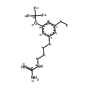 CCc1cc(CCCCNC(=N)N)cc(OC(F)(F)F)c1